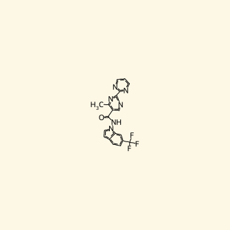 Cc1nc(-c2ncccn2)ncc1C(=O)Nn1ccc2ccc(C(F)(F)F)cc21